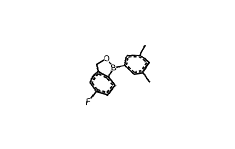 Cc1cc(C)cc(B2OCc3cc(F)ccc32)c1